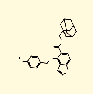 O=C(N[C@H](C(=O)O)C12CC3CC(CC(C3)C1)C2)c1ccc2occc2c1OCc1ccc(OC(F)(F)F)cc1